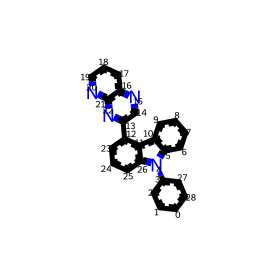 c1ccc(-n2c3ccccc3c3c(-c4cnc5cccnc5n4)cccc32)cc1